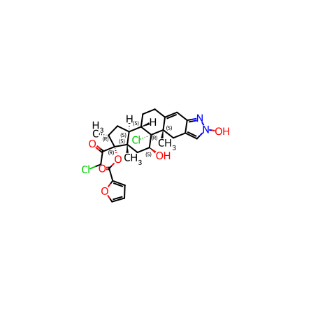 C[C@@H]1C[C@H]2[C@@H]3CCC4=Cc5nn(O)cc5C[C@]4(C)[C@@]3(Cl)[C@@H](O)C[C@]2(C)[C@@]1(OC(=O)c1ccco1)C(=O)CCl